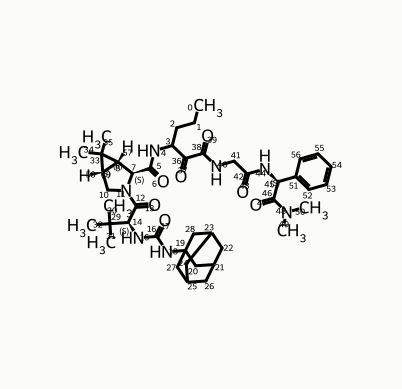 CCCC(NC(=O)[C@@H]1[C@@H]2[C@H](CN1C(=O)[C@@H](NC(=O)NC13CC4CC(CC(C4)C1)C3)C(C)(C)C)C2(C)C)C(=O)C(=O)NCC(=O)N[C@H](C(=O)N(C)C)c1ccccc1